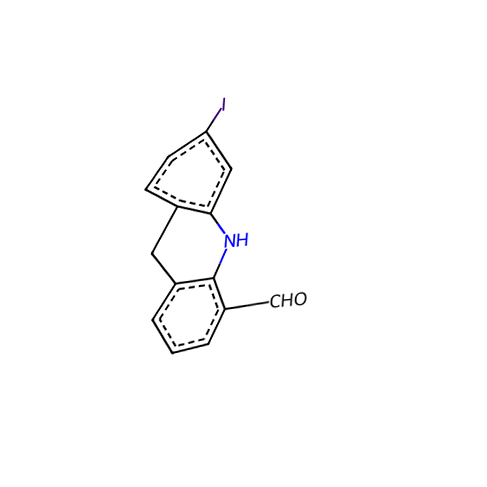 O=Cc1cccc2c1Nc1cc(I)ccc1C2